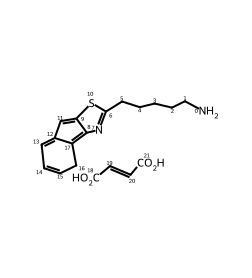 NCCCCCc1nc2c(s1)=CC1=CC=CCC=21.O=C(O)C=CC(=O)O